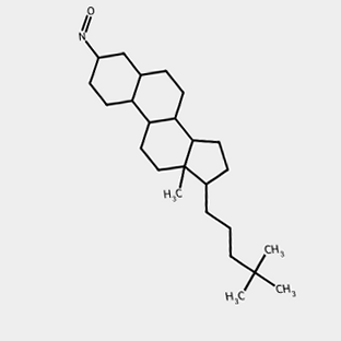 CC(C)(C)CCCC1CCC2C3CCC4CC(N=O)CCC4C3CCC12C